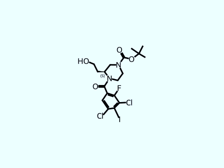 CC(C)(C)OC(=O)N1CCN(C(=O)c2cc(Cl)c(I)c(Cl)c2F)[C@@H](CCO)C1